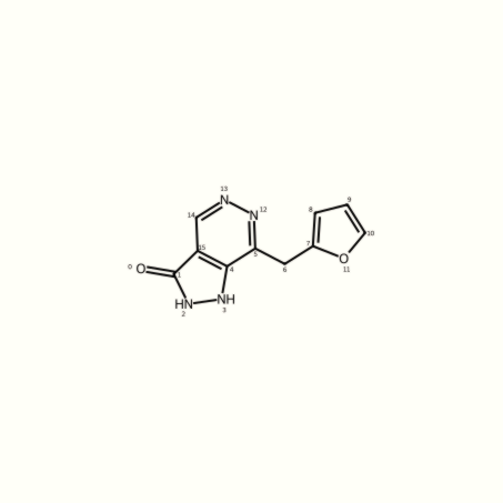 O=c1[nH][nH]c2c(Cc3ccco3)nncc12